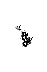 CN(C)CCNc1ccnc2c3c(ccc12)-c1ccccc1S(=O)(=O)N3